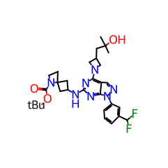 CC(C)(O)CC1CN(c2nc(NC3CC4(CCN4C(=O)OC(C)(C)C)C3)nc3c2cnn3-c2cccc(C(F)F)c2)C1